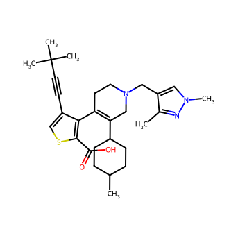 Cc1nn(C)cc1CN1CCC(c2c(C#CC(C)(C)C)csc2C(=O)O)=C(C2CCC(C)CC2)C1